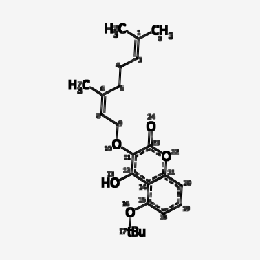 CC(C)=CCCC(C)=CCOc1c(O)c2c(OC(C)(C)C)cccc2oc1=O